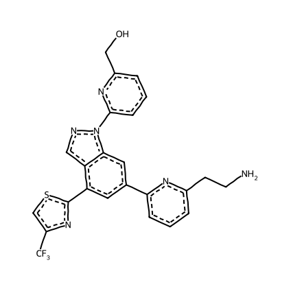 NCCc1cccc(-c2cc(-c3nc(C(F)(F)F)cs3)c3cnn(-c4cccc(CO)n4)c3c2)n1